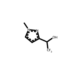 Cn1ccc(C(O)C(F)(F)F)n1